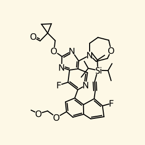 COCOc1cc(-c2ncc3c(N4CCCOCC4)nc(OCC4(C=O)CC4)nc3c2F)c2c(C#C[Si](C(C)C)(C(C)C)C(C)C)c(F)ccc2c1